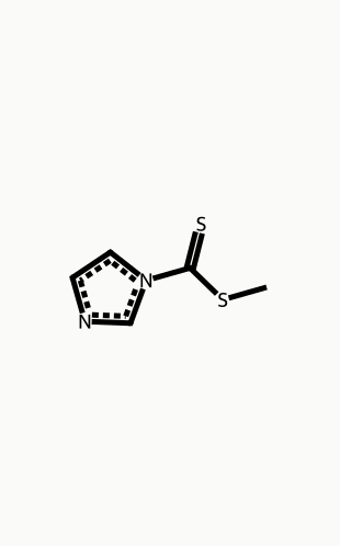 CSC(=S)n1ccnc1